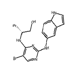 CC(C)[C@H](CO)Nc1nc(Nc2ccc3[nH]ccc3c2)ncc1Br